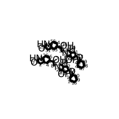 O=C1Cc2cc([C@@H](O)CN3C[C@H]4C[C@H](Oc5ccccc5)C[C@@]4(O)C3)ccc2N1.O=C1Cc2cc([C@H](O)CN3C[C@H]4C[C@H](Oc5ccccc5)C[C@@]4(O)C3)ccc2N1